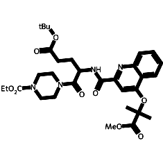 CCOC(=O)N1CCN(C(=O)C(CCC(=O)OC(C)(C)C)NC(=O)c2cc(OC(C)(C)C(=O)OC)c3ccccc3n2)CC1